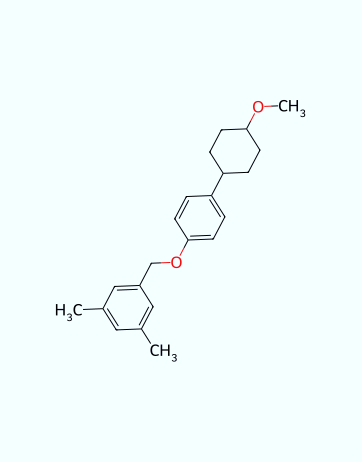 COC1CCC(c2ccc(OCc3cc(C)cc(C)c3)cc2)CC1